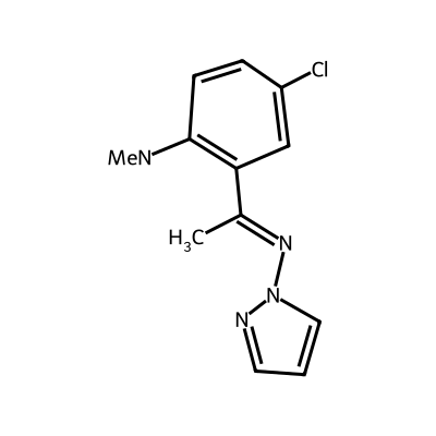 CNc1ccc(Cl)cc1/C(C)=N/n1cccn1